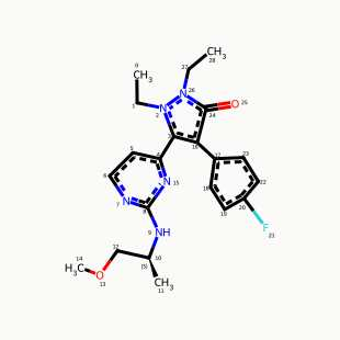 CCn1c(-c2ccnc(N[C@@H](C)COC)n2)c(-c2ccc(F)cc2)c(=O)n1CC